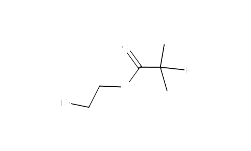 CC(C)(Br)C(=O)OCCO